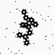 c1ccc(-c2ccc3c(c2)c2ccc4c5ccccc5n(-c5nc(-c6ccccc6)nc(-c6cccc(-c7nc(-c8ccccc8)nc(-c8ccccc8)n7)c6)n5)c4c2n3-c2ccccc2)cc1